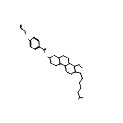 C=CCOc1ccc(C(=O)OC2CC[C@@]3(C)C(CCC4C3CC[C@@]3(C)C4CC[C@@H]3[C@H](C)CCCC(C)C)C2)cc1